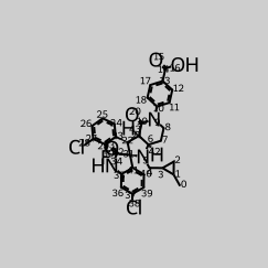 CC1CC1CN1[C@H]2CCN(c3ccc(C(=O)O)cc3)C(=O)[C@H]2[C@H](c2cccc(Cl)c2F)[C@]12C(=O)Nc1cc(Cl)ccc12